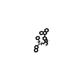 c1ccc(-c2nc(-c3ccc4ccccc4c3)nc(-c3nccc4oc5cc(-c6cc7ccccc7c7ccccc67)ccc5c34)n2)cc1